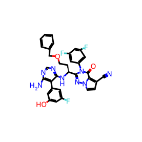 N#Cc1ccn2nc([C@H](CCOCc3ccccc3)Nc3ncnc(N)c3-c3cc(O)cc(F)c3)n(-c3cc(F)cc(F)c3)c(=O)c12